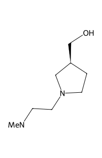 [CH2-][NH2+]CCN1CC[C@H](CO)C1